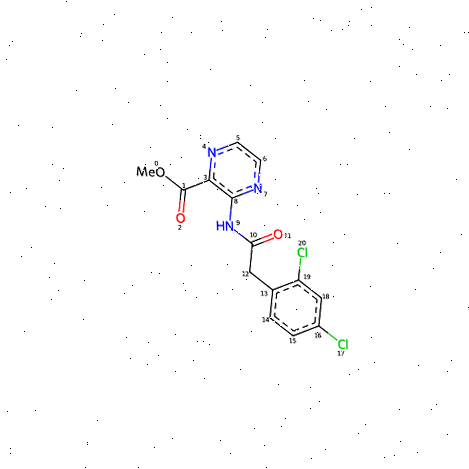 COC(=O)c1nccnc1NC(=O)Cc1ccc(Cl)cc1Cl